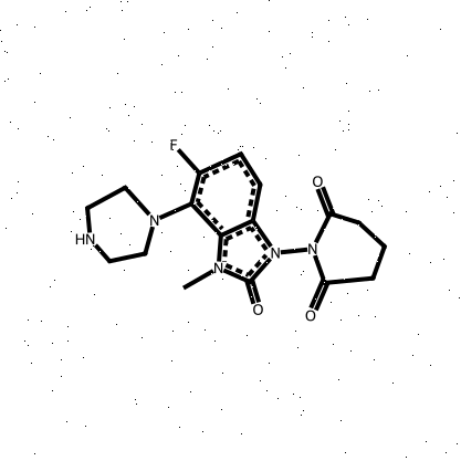 Cn1c(=O)n(N2C(=O)CCCC2=O)c2ccc(F)c(N3CCNCC3)c21